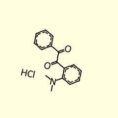 CN(C)c1ccccc1C(=O)C(=O)c1ccccc1.Cl